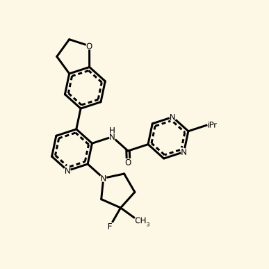 CC(C)c1ncc(C(=O)Nc2c(-c3ccc4c(c3)CCO4)ccnc2N2CCC(C)(F)C2)cn1